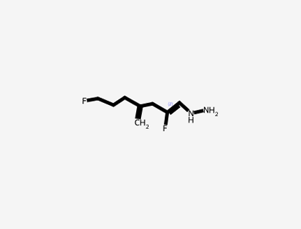 C=C(CCCF)C/C(F)=C/NN